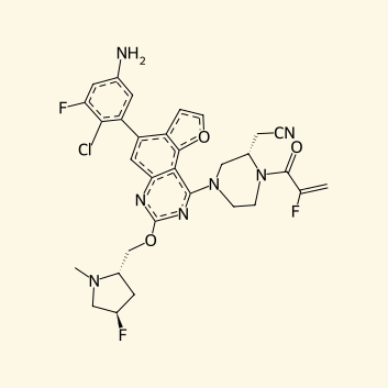 C=C(F)C(=O)N1CCN(c2nc(OC[C@@H]3C[C@@H](F)CN3C)nc3cc(-c4cc(N)cc(F)c4Cl)c4ccoc4c23)C[C@@H]1CC#N